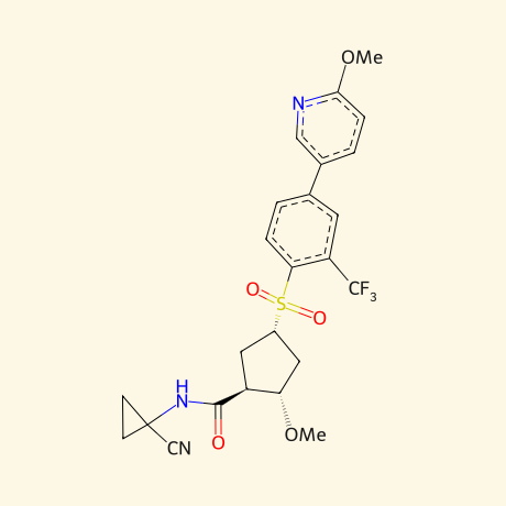 COc1ccc(-c2ccc(S(=O)(=O)[C@@H]3C[C@H](OC)[C@@H](C(=O)NC4(C#N)CC4)C3)c(C(F)(F)F)c2)cn1